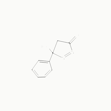 CC1(c2ccccc2)CC(=O)N=N1